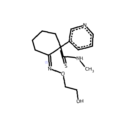 CNC(=S)C1(c2cccnc2)CCCC/C1=N/OCCO